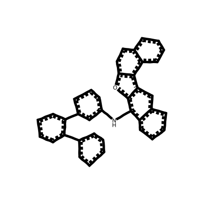 c1ccc(-c2ccccc2-c2cccc(Nc3c4ccccc4cc4c3oc3ccc5ccccc5c34)c2)cc1